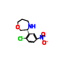 O=[N+]([O-])c1ccc(Cl)c([C@@H]2COCCCN2)c1